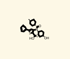 C[C@H]1CC[C@H](C(=O)N(c2cc(-c3ccccc3)sc2C(=O)O)[C@H]2CC[C@@H](O)CC2)CC1